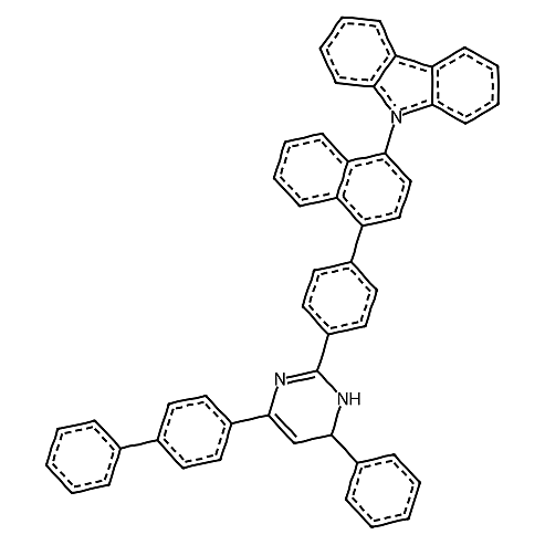 C1=C(c2ccc(-c3ccccc3)cc2)N=C(c2ccc(-c3ccc(-n4c5ccccc5c5ccccc54)c4ccccc34)cc2)NC1c1ccccc1